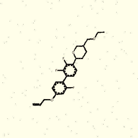 C=CCOc1ccc(-c2ccc(C3CCC(COCC)CO3)c(F)c2F)c(F)c1